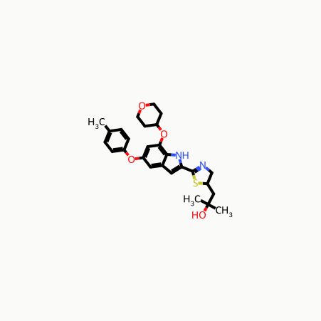 Cc1ccc(Oc2cc(OC3CCOCC3)c3[nH]c(C4=NCC(CC(C)(C)O)S4)cc3c2)cc1